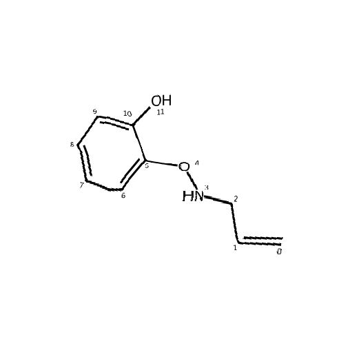 C=CCNOc1ccccc1O